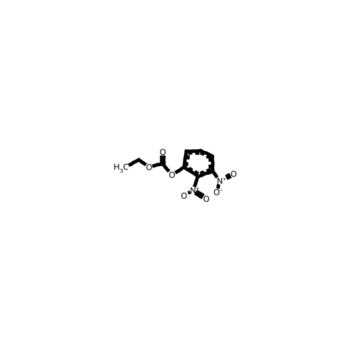 CCOC(=O)Oc1cccc([N+](=O)[O-])c1[N+](=O)[O-]